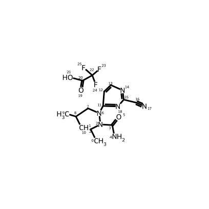 CCN(C(N)=O)N(CC(C)C)c1ccnc(C#N)n1.O=C(O)C(F)(F)F